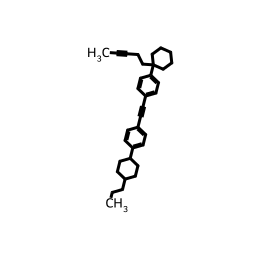 CC#CCCC1(c2ccc(C#Cc3ccc(C4CCC(CCC)CC4)cc3)cc2)CCCCC1